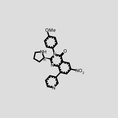 COc1ccc(-n2c([C@H]3CCCN3)nc3c(-c4cccnc4)cc([N+](=O)[O-])cc3c2=O)cc1